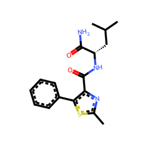 Cc1nc(C(=O)N[C@@H](CC(C)C)C(N)=O)c(-c2ccccc2)s1